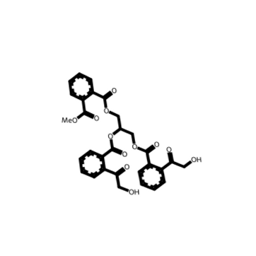 COC(=O)c1ccccc1C(=O)OCC(COC(=O)c1ccccc1C(=O)CO)OC(=O)c1ccccc1C(=O)CO